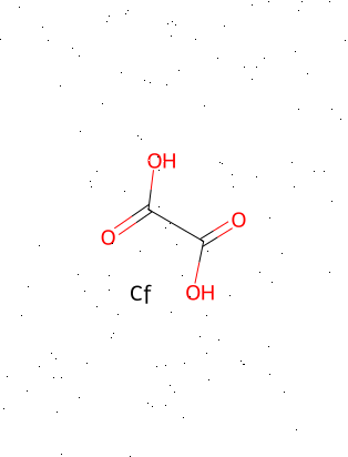 O=C(O)C(=O)O.[Cf]